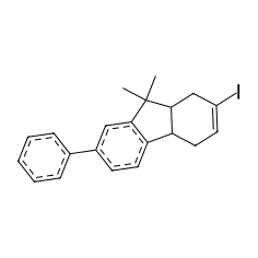 CC1(C)c2cc(-c3ccccc3)ccc2C2CC=C(I)CC21